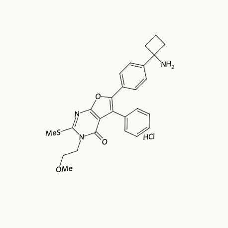 COCCn1c(SC)nc2oc(-c3ccc(C4(N)CCC4)cc3)c(-c3ccccc3)c2c1=O.Cl